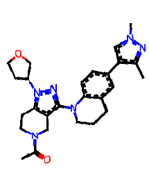 CC(=O)N1CCc2c(c(N3CCCc4cc(-c5cn(C)nc5C)ccc43)nn2[C@H]2CCOC2)C1